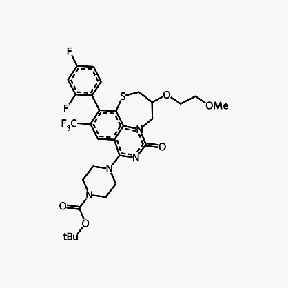 COCCOC1CSc2c(-c3ccc(F)cc3F)c(C(F)(F)F)cc3c(N4CCN(C(=O)OC(C)(C)C)CC4)nc(=O)n(c23)C1